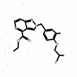 CCOC(=O)c1nccc2nn(Cc3ccc(OCC(F)I)c(C)c3)cc12